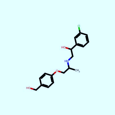 CC(COc1ccc(CO)cc1)NCC(O)c1cccc(Cl)c1